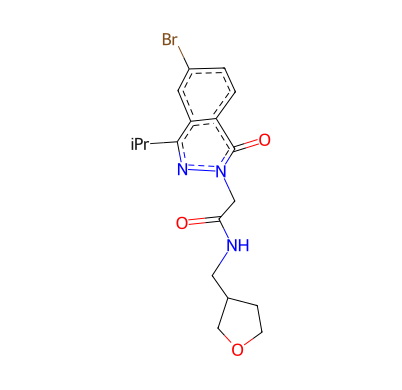 CC(C)c1nn(CC(=O)NCC2CCOC2)c(=O)c2ccc(Br)cc12